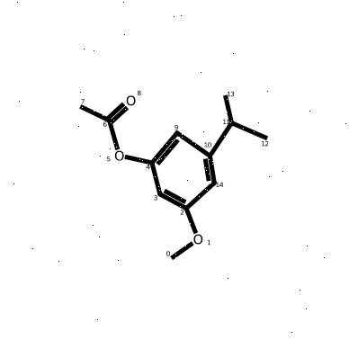 COc1cc(OC(C)=O)cc([C](C)C)c1